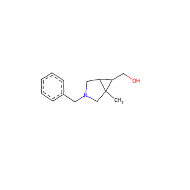 CC12CN(Cc3ccccc3)CC1C2CO